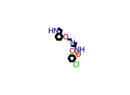 O=S(=O)(NC1CN(CCOc2cccc3[nH]ccc23)C1)c1cccc(Cl)c1